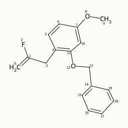 C=C(F)Cc1ccc(OC)cc1OCc1ccccc1